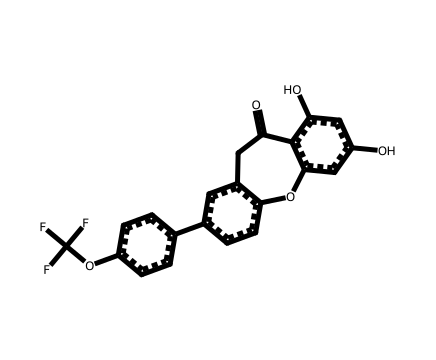 O=C1Cc2cc(-c3ccc(OC(F)(F)F)cc3)ccc2Oc2cc(O)cc(O)c21